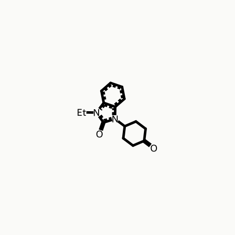 CCn1c(=O)n(C2CCC(=O)CC2)c2ccccc21